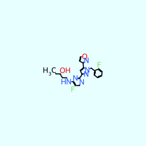 CCC(O)CCNc1nc(-c2cc(-c3ccon3)n(Cc3ccccc3F)n2)ncc1F